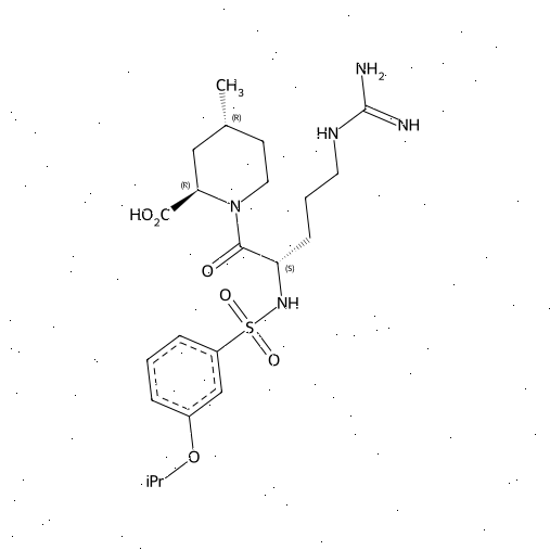 CC(C)Oc1cccc(S(=O)(=O)N[C@@H](CCCNC(=N)N)C(=O)N2CC[C@@H](C)C[C@@H]2C(=O)O)c1